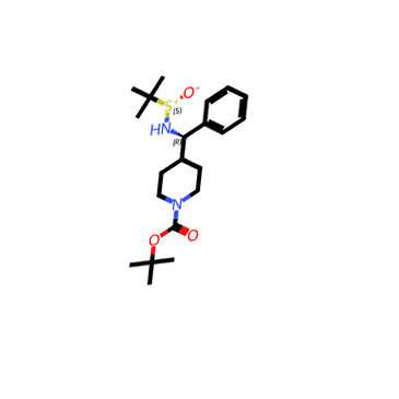 CC(C)(C)OC(=O)N1CCC([C@@H](N[S@+]([O-])C(C)(C)C)c2ccccc2)CC1